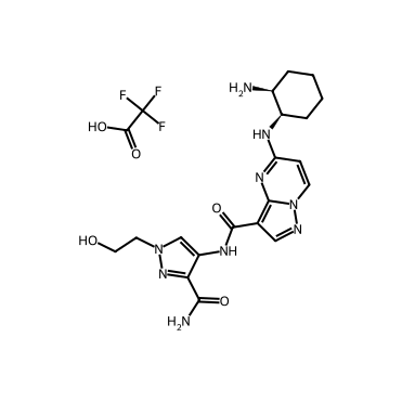 NC(=O)c1nn(CCO)cc1NC(=O)c1cnn2ccc(N[C@@H]3CCCC[C@@H]3N)nc12.O=C(O)C(F)(F)F